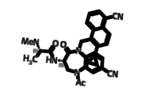 CN[C@@H](C)C(=O)N[C@H]1CN(C(C)=O)c2cc(C#N)ccc2N(Cc2c(C3CC3)ccc3c(C#N)cccc23)C1=O